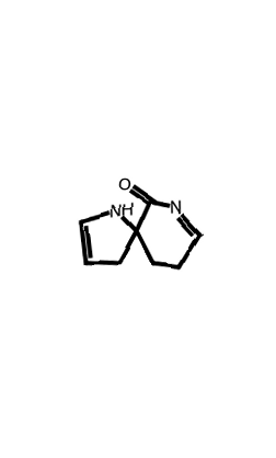 O=C1N=CCCC12CC=CN2